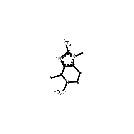 CC1c2nc(C(F)(F)F)n(C)c2CCN1C(=O)O